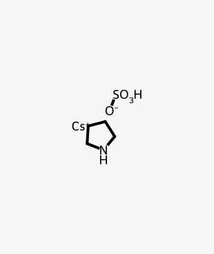 C1CCNC1.O=S(=O)([O-])O.[Cs+]